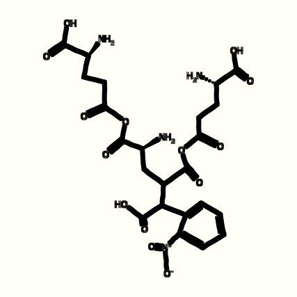 N[C@@H](CCC(=O)OC(=O)C(C[C@H](N)C(=O)OC(=O)CC[C@H](N)C(=O)O)C(C(=O)O)c1ccccc1[N+](=O)[O-])C(=O)O